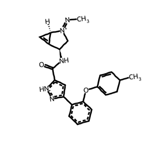 C/N=[N+]1\C[C@@H](NC(=O)c2cc(-c3ccccc3OC3=CCC(C)C=C3)n[nH]2)C2=C[C@H]21